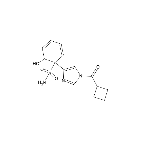 NS(=O)(=O)C1(c2cn(C(=O)C3CCC3)cn2)C=CC=CC1O